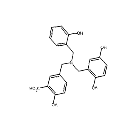 O=C(O)c1cc(CN(Cc2ccccc2O)Cc2cc(O)ccc2O)ccc1O